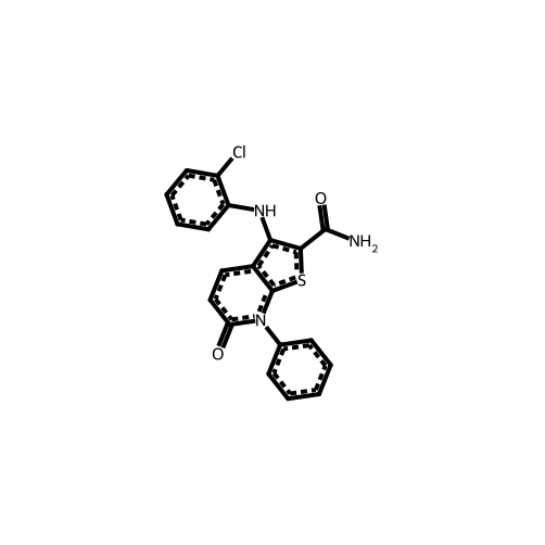 NC(=O)c1sc2c(ccc(=O)n2-c2ccccc2)c1Nc1ccccc1Cl